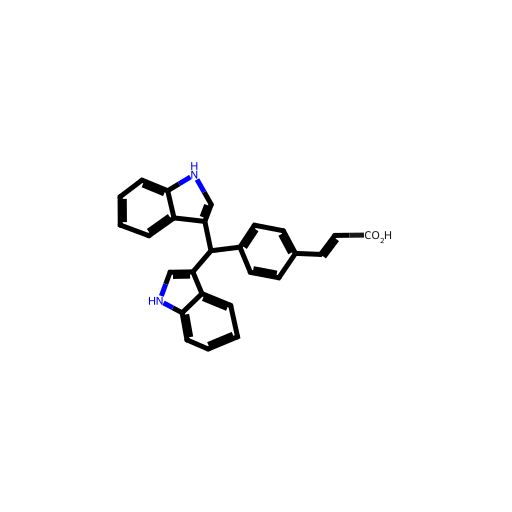 O=C(O)/C=C/c1ccc(C(c2c[nH]c3ccccc23)c2c[nH]c3ccccc23)cc1